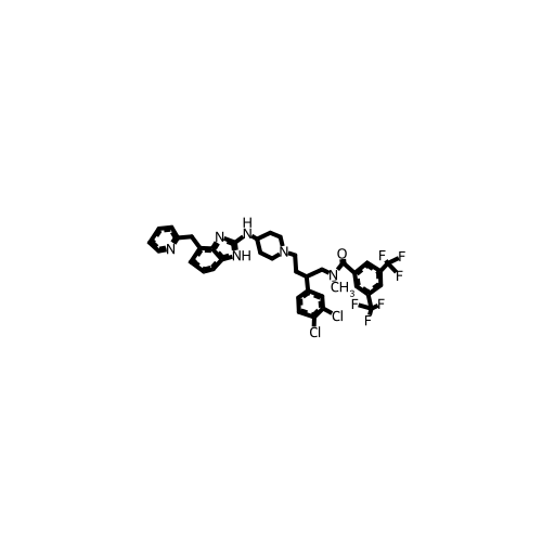 CN(CC(CCN1CCC(Nc2nc3c(Cc4ccccn4)cccc3[nH]2)CC1)c1ccc(Cl)c(Cl)c1)C(=O)c1cc(C(F)(F)F)cc(C(F)(F)F)c1